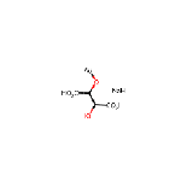 O=C(O)C(O)C([O][Au])C(=O)O.[NaH]